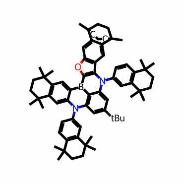 CC(C)(C)c1cc2c3c(c1)N(c1ccc4c(c1)C(C)(C)CCC4(C)C)c1c(oc4cc5c(cc14)C1(C)CCCC5(C)CC1)B3c1cc3c(cc1N2c1ccc2c(c1)C(C)(C)CCC2(C)C)C(C)(C)CCC3(C)C